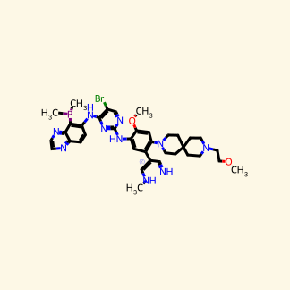 CN/C=C(\C=N)c1cc(Nc2ncc(Br)c(Nc3ccc4nccnc4c3P(C)C)n2)c(OC)cc1N1CCC2(CCN(CCOC)CC2)CC1